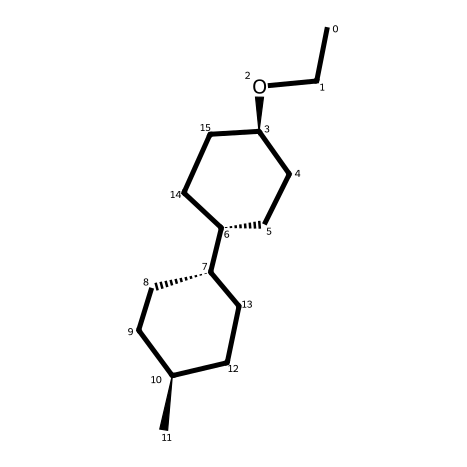 CCO[C@H]1CC[C@H]([C@H]2CC[C@H](C)CC2)CC1